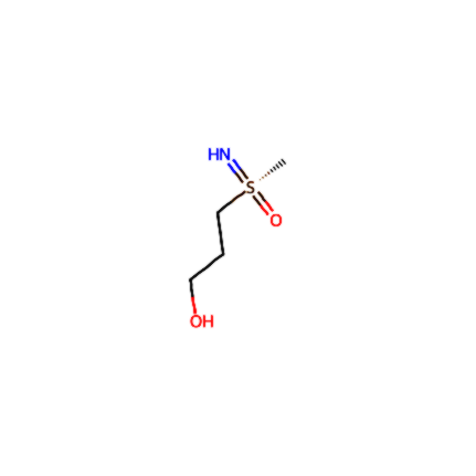 C[S@](=N)(=O)CCCO